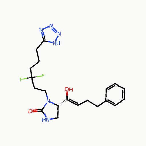 O=C1NC[C@@H](C(O)=CCCc2ccccc2)N1CCC(F)(F)CCCc1nnn[nH]1